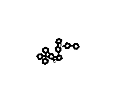 c1ccc(-c2ccc(-n3c4ccccc4c4ccc(-c5cccc6oc7cc8c(cc7c56)-c5ccccc5C8(c5ccccc5)c5ccccc5)cc43)cc2)cc1